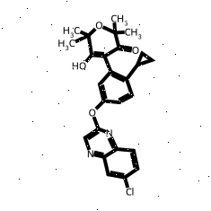 CC1(C)OC(C)(C)C(O)=C(c2cc(Oc3cnc4cc(Cl)ccc4n3)ccc2C2CC2)C1=O